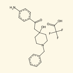 Nc1ccc(C(=O)CC2(O)CCN(Cc3ccccc3)CC2)cc1.O=C(O)C(F)(F)F